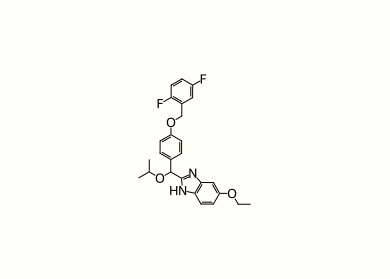 CCOc1ccc2[nH]c(C(OC(C)C)c3ccc(OCc4cc(F)ccc4F)cc3)nc2c1